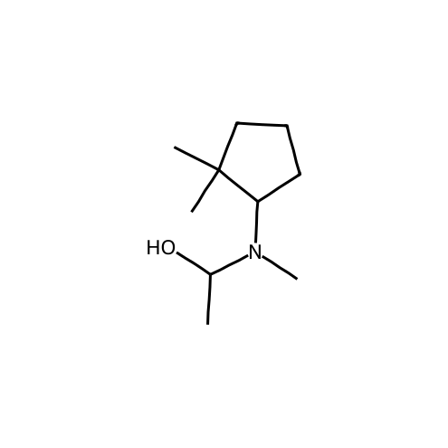 CC(O)N(C)C1CCCC1(C)C